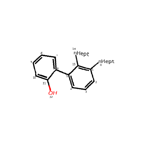 CCCCCCCc1cccc(-c2ccccc2O)c1CCCCCCC